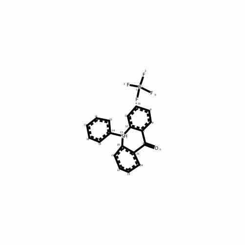 F[B-](F)(F)F.O=C1c2ccccc2[SH](c2ccccc2)c2ccccc21